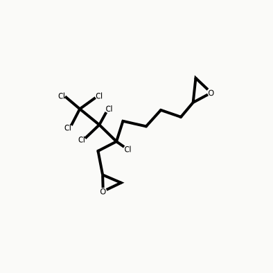 ClC(Cl)(Cl)C(Cl)(Cl)C(Cl)(CCCCC1CO1)CC1CO1